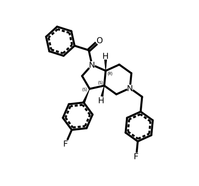 O=C(c1ccccc1)N1C[C@H](c2ccc(F)cc2)[C@H]2CN(Cc3ccc(F)cc3)CC[C@H]21